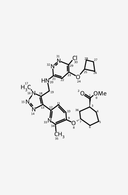 COC(=O)[C@H]1CCC[C@H](Oc2ccc(-c3nnn(C)c3CNc3cc(OC4CCC4)c(Cl)nn3)nc2C)C1